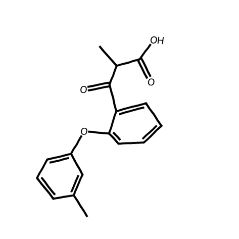 Cc1cccc(Oc2ccccc2C(=O)C(C)C(=O)O)c1